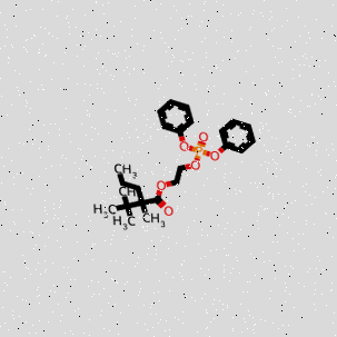 CCCC(C)(C(=O)OCCOP(=O)(Oc1ccccc1)Oc1ccccc1)C(C)(C)C